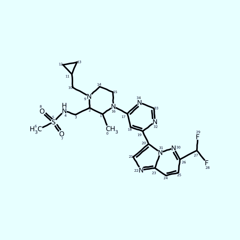 CC1C(CNS(C)(=O)=O)N(CC2CC2)CCN1c1cc(-c2cnc3ccc(C(F)F)nn23)ncn1